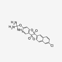 NC(N)(N)Oc1ccc(S(=O)(=O)S(=O)(=O)c2ccc3cc(Cl)ccc3c2)cc1